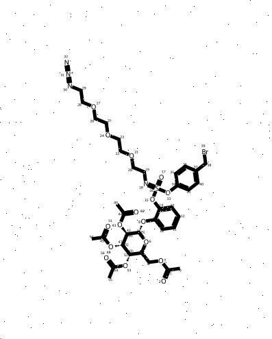 CC(=O)OCC1O[C@@H](Oc2ccccc2OS(=O)(=NCCOCCOCCOCCN=[N+]=[N-])Oc2ccc(CBr)cc2)[C@H](OC(C)=O)[C@@H](OC(C)=O)[C@H]1OC(C)=O